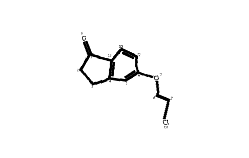 O=C1CCc2cc(OCCCl)ccc21